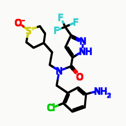 Nc1ccc(Cl)c(CN(CCC2CC[S+]([O-])CC2)C(=O)c2cc(C(F)(F)F)n[nH]2)c1